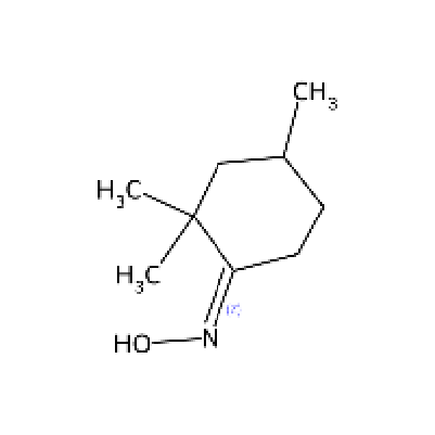 CC1CC/C(=N/O)C(C)(C)C1